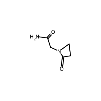 NC(=O)CN1CCC1=O